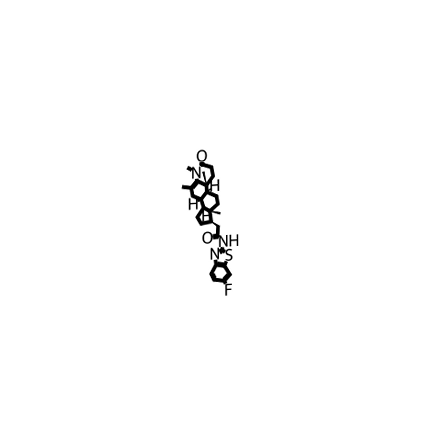 CC1=C2N(C)C(=O)CC[C@]2(C)[C@H]2CC[C@]3(C)[C@@H](CC(=O)Nc4nc5ccc(F)cc5s4)CC[C@H]3[C@@H]2C1